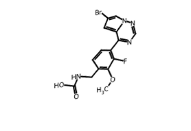 COc1c(CNC(=O)O)ccc(-c2ncnn3cc(Br)cc23)c1F